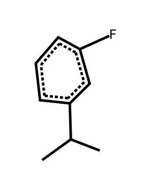 CC(C)c1cccc(F)c1